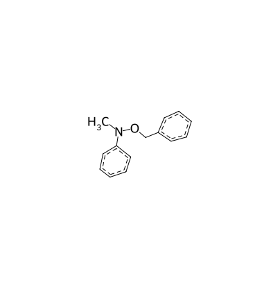 CN(OCc1ccccc1)c1ccccc1